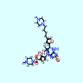 CN1CCN(CCCCc2coc([C@H](Nc3n[s+]([O-])nc3Nc3csc(S(=O)(=O)N4CCN(C)CC4)c3O)C(C)(C)C)c2)CC1